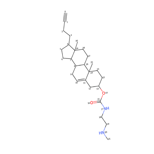 C#CCCC1CCC2C3CC=C4CC(OC(=O)NCCNC)CCC4(C)C3CCC12C